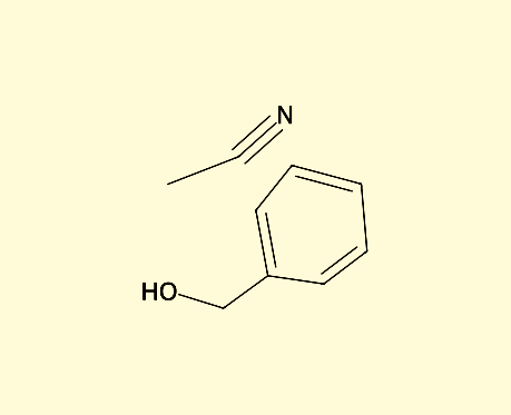 CC#N.OCc1ccccc1